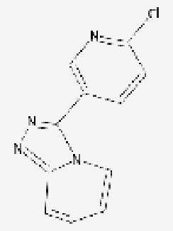 Clc1ccc(-c2nnc3ccccn23)cn1